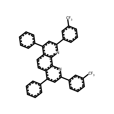 FC(F)(F)c1cccc(-c2cc(-c3ccccc3)c3ccc4c(-c5ccccc5)cc(-c5cccc(C(F)(F)F)c5)nc4c3n2)c1